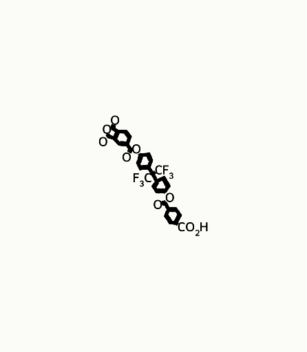 O=C(O)c1ccc(C(=O)Oc2ccc(C(c3ccc(OC(=O)c4ccc5c(c4)C(=O)OC5=O)cc3)(C(F)(F)F)C(F)(F)F)cc2)cc1